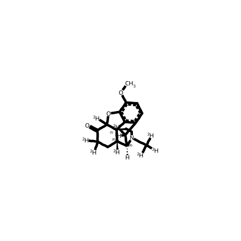 [2H]C1([2H])C[C@@]2([2H])[C@@H]3N(C([2H])([2H])[2H])CC[C@@]24c2c(ccc(OC)c2OC4([2H])C1=O)C3([2H])[2H]